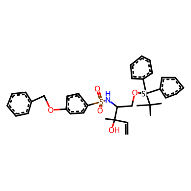 C=CC(C)(O)C(CO[Si](c1ccccc1)(c1ccccc1)C(C)(C)C)NS(=O)(=O)c1ccc(OCc2ccccc2)cc1